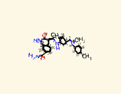 CC(Nc1ccc(CN(C)Cc2ccc(C)cc2)cc1)=C1C(=O)Nc2cc(C(N)=O)ccc21